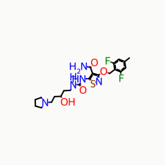 Cc1cc(F)c(COc2nsc(NC(=O)NCCC(O)CCN3CCCC3)c2C(N)=O)c(F)c1